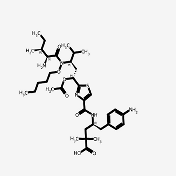 CCCCCON(C(=O)[C@@H](N)[C@@H](C)CC)[C@H](C[C@@H](OC(C)=O)c1nc(C(=O)N[C@@H](Cc2ccc(N)cc2)CC(C)(C)C(=O)O)cs1)C(C)C